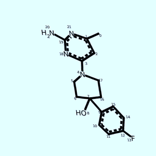 Cc1cc(N2CCC(O)(c3ccc(F)cc3)CC2)nc(N)n1